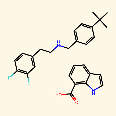 CC(C)(C)c1ccc(CNCCc2ccc(F)c(F)c2)cc1.O=C(O)c1cccc2cc[nH]c12